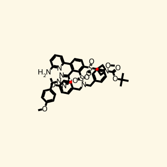 COc1ccc(CN(Cc2ccc(OC)cc2)S(=O)(=O)c2c(S(=O)(=O)C3CN(C(=O)OC(C)(C)C)C3)ccc(-c3cccc(N)n3)c2-c2nnn(Cc3ccc(OC)cc3)n2)cc1